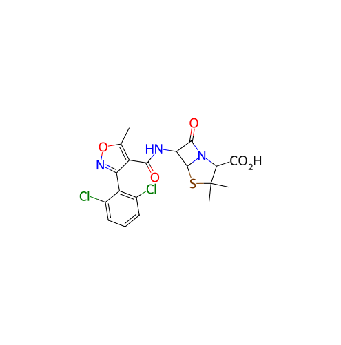 Cc1onc(-c2c(Cl)cccc2Cl)c1C(=O)NC1C(=O)N2C1SC(C)(C)C2C(=O)O